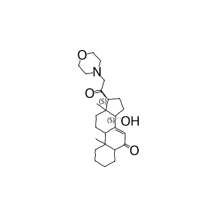 CC12CCCCC1C(=O)C=C1C2CCC2(C)[C@@H](C(=O)CN3CCOCC3)CC[C@@]12O